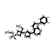 CC(C)N=S(C)(=O)N1CC(CC#N)(n2cc(-c3ncnc4c3ccn4-c3ccccc3)cn2)C1